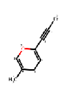 CCC#CC1=CCC(C)=CO1